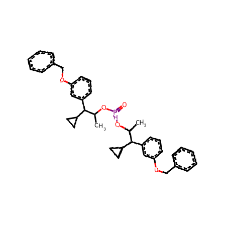 CC(O[PH](=O)OC(C)C(c1cccc(OCc2ccccc2)c1)C1CC1)C(c1cccc(OCc2ccccc2)c1)C1CC1